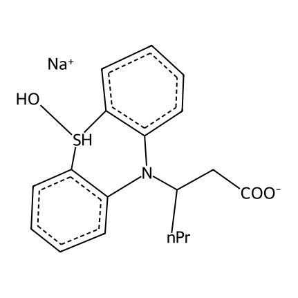 CCCC(CC(=O)[O-])N1c2ccccc2[SH](O)c2ccccc21.[Na+]